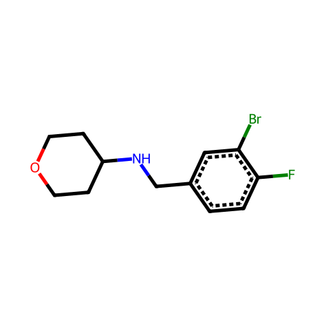 Fc1ccc(CNC2CCOCC2)cc1Br